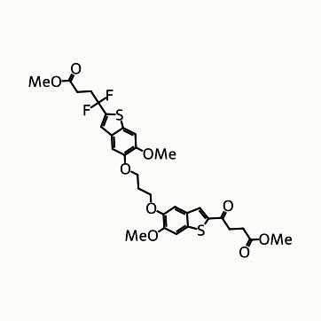 COC(=O)CCC(=O)c1cc2cc(OCCCOc3cc4cc(C(F)(F)CCC(=O)OC)sc4cc3OC)c(OC)cc2s1